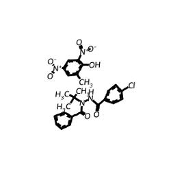 CC(C)(C)N(NC(=O)c1ccc(Cl)cc1)C(=O)c1ccccc1.Cc1cc([N+](=O)[O-])cc([N+](=O)[O-])c1O